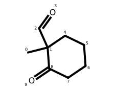 CC1(C=O)CCCCC1=O